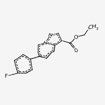 CCOC(=O)c1cnn2cc(-c3ccc(F)cc3)ccc12